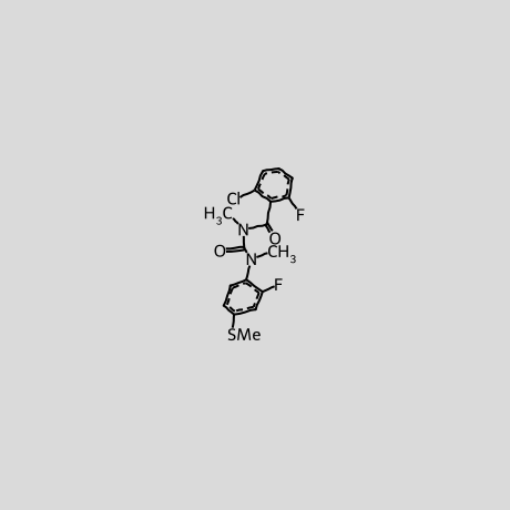 CSc1ccc(N(C)C(=O)N(C)C(=O)c2c(F)cccc2Cl)c(F)c1